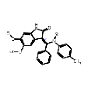 CCOc1cc2c(cc1OCC)/C(=C(\c1ccccc1)N(S)c1ccc(C)cc1)C(=O)N2